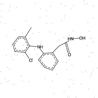 Cc1cccc(Cl)c1Nc1ccccc1CC(=O)NO